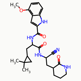 COc1cccc2[nH]c(C(=O)NC(CC3CC3(C)C)C(=O)NC(C#N)CC3CCCNC3=O)cc12